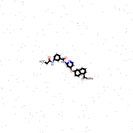 C=CC(=O)Nc1cccc(C(=O)Nc2cc(Oc3ccc4c(C(=O)NC)cccc4c3)ccn2)c1